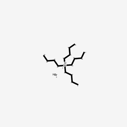 Br.CCC[CH2][SbH]([CH2]CCC)([CH2]CCC)[CH2]CCC